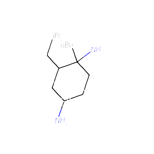 CCCCC1(N)CCC(N)CC1CC(C)C